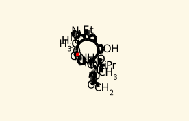 C=CC(=O)N1CC[C@H](C(=O)N(C)C(C(=O)N[C@H]2Cc3cc(O)cc(c3)-c3ccc4c(c3)c(c(-c3cncnc3)n4CC)CC(C)(C)COC(=O)[C@@H]3CCCN(N3)C2=O)C(C)C)O1